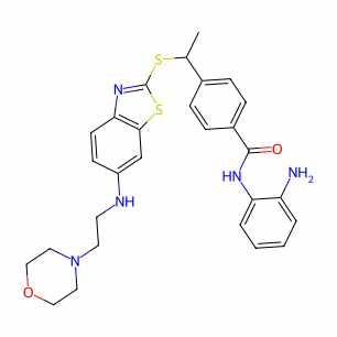 CC(Sc1nc2ccc(NCCN3CCOCC3)cc2s1)c1ccc(C(=O)Nc2ccccc2N)cc1